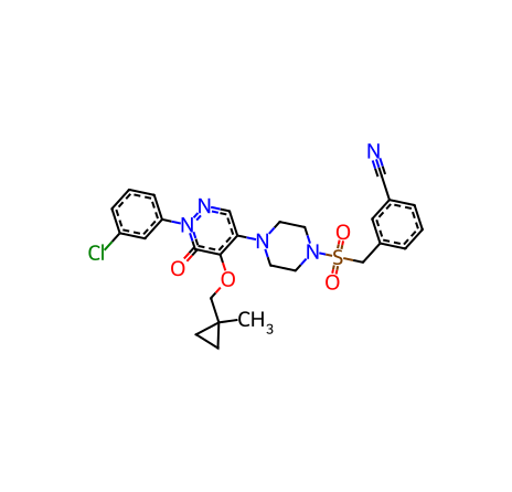 CC1(COc2c(N3CCN(S(=O)(=O)Cc4cccc(C#N)c4)CC3)cnn(-c3cccc(Cl)c3)c2=O)CC1